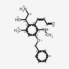 CNc1c(OCc2ccccc2)cc(C)c(C(O)CN)c1/C=C\C=O